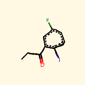 CCC(=O)c1cc(F)ccc1I